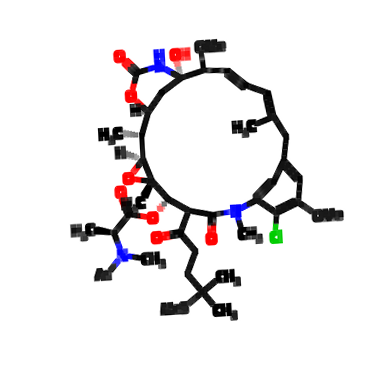 COc1cc2cc(c1Cl)N(C)C(=O)C(C(=O)CCC(C)(C)SC)[C@H](OC(=O)[C@H](C)N(C)C(C)=O)[C@]1(C)O[C@H]1[C@H](C)[C@@H]1C[C@@](O)(NC(=O)O1)C(OC)/C=C/C=C(\C)C2